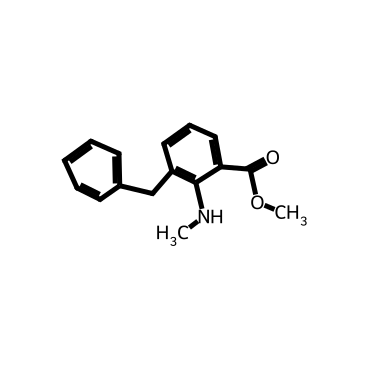 CNc1c(Cc2ccccc2)cccc1C(=O)OC